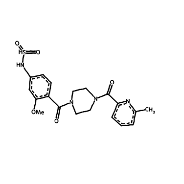 COc1cc(N[SH](=O)=O)ccc1C(=O)N1CCN(C(=O)c2cccc(C)n2)CC1